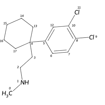 CNCCC1(c2ccc(Cl)c(Cl)c2)CCCCC1